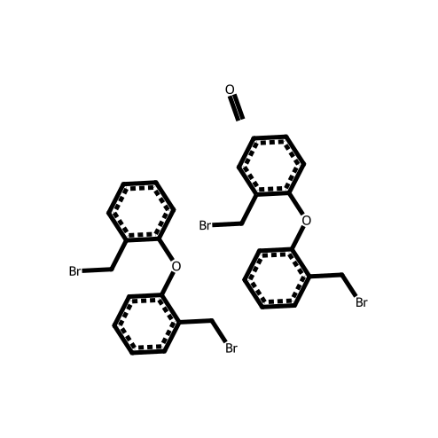 BrCc1ccccc1Oc1ccccc1CBr.BrCc1ccccc1Oc1ccccc1CBr.C=O